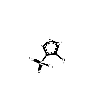 CCc1nocc1S(=O)(=O)Cl